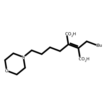 CCC(C)C/C(C(=O)O)=C(/CCCCN1CCOCC1)C(=O)O